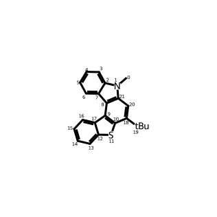 Cn1c2ccccc2c2c3c(sc4ccccc43)c(C(C)(C)C)cc21